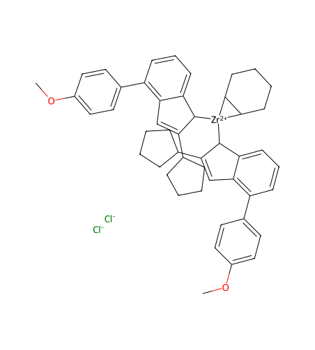 COc1ccc(-c2cccc3c2C=C(C2CCCC2)[CH]3[Zr+2]2([CH]3C(C4CCCC4)=Cc4c(-c5ccc(OC)cc5)cccc43)[CH]3CCCC[CH]32)cc1.[Cl-].[Cl-]